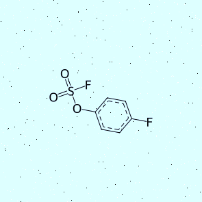 O=S(=O)(F)Oc1ccc(F)cc1